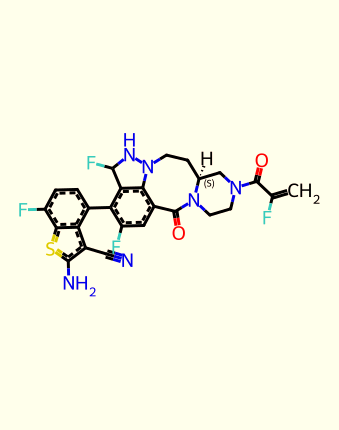 C=C(F)C(=O)N1CCN2C(=O)c3cc(F)c(-c4ccc(F)c5sc(N)c(C#N)c45)c4c3N(CC[C@H]2C1)NC4F